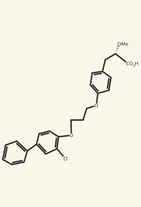 CO[C@@H](Cc1ccc(OCCCOc2ccc(-c3ccccc3)cc2Cl)cc1)C(=O)O